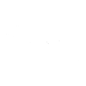 O=C1C(=O)c2ccccc2C2=C1SCC1(CCN(C(=O)Cc3ccc(Cl)cc3)CC1)O2